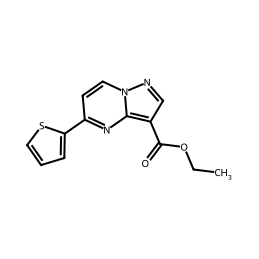 CCOC(=O)c1cnn2ccc(-c3cccs3)nc12